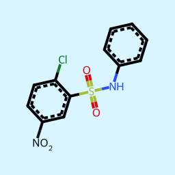 O=[N+]([O-])c1ccc(Cl)c(S(=O)(=O)Nc2ccccc2)c1